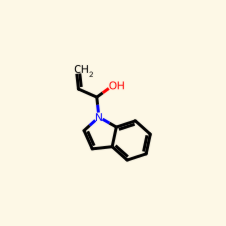 C=CC(O)n1ccc2ccccc21